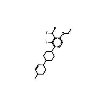 CCOc1ccc(C2CCC(C3C=CC(C)CC3)CC2)c(F)c1C(F)F